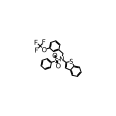 O=S(=O)(c1ccccc1)N(Cc1cccc(OC(F)(F)F)c1)c1cc2ccccc2s1